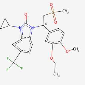 CCOc1cc([C@@H](CS(C)(=O)=O)n2c(=O)n(C3CC3)c3cc(C(F)(F)F)ccc32)ccc1OC